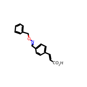 O=C(O)C=Cc1ccc(C=NOCc2ccccc2)cc1